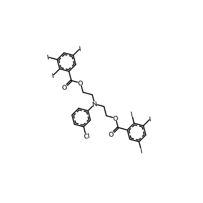 O=C(OCCN(CCOC(=O)c1cc(I)cc(I)c1I)c1cccc(Cl)c1)c1cc(I)cc(I)c1I